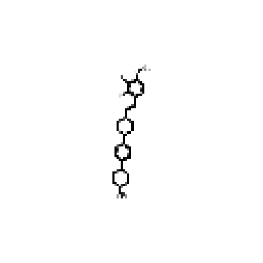 CCCC1CCC(c2ccc(C3CCC(/C=C/c4ccc(OCC)c(F)c4F)CC3)cc2)CC1